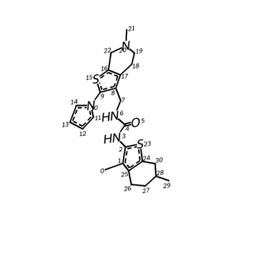 Cc1c(NC(=O)NCc2c(-n3cccc3)sc3c2CCN(C)C3)sc2c1CCC(C)C2